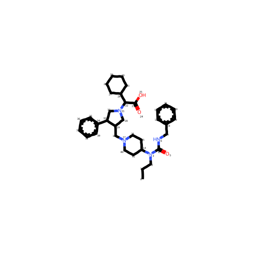 CCCN(C(=O)NCc1ccccc1)C1CCN(CC2CN(C(C(=O)O)C3CCCCC3)CC2c2ccccc2)CC1